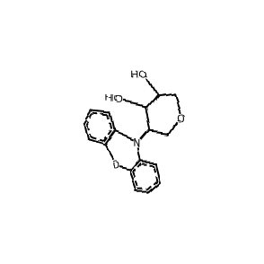 OC1COCC(N2c3ccccc3Oc3ccccc32)C1O